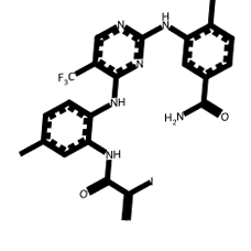 C=C(I)C(=O)Nc1cc(C)ccc1Nc1nc(Nc2cc(C(N)=O)ccc2C)ncc1C(F)(F)F